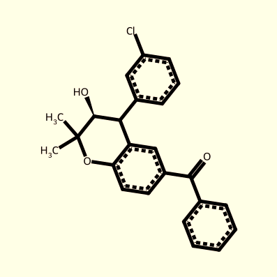 CC1(C)Oc2ccc(C(=O)c3ccccc3)cc2C(c2cccc(Cl)c2)[C@@H]1O